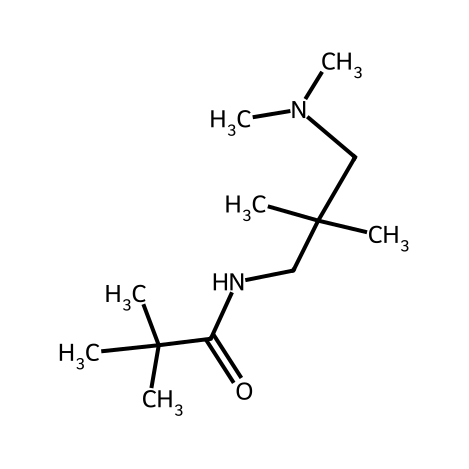 CN(C)CC(C)(C)CNC(=O)C(C)(C)C